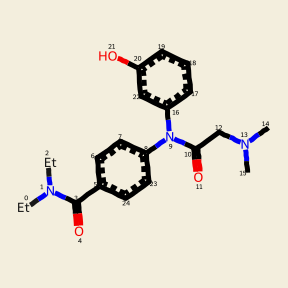 CCN(CC)C(=O)c1ccc(N(C(=O)CN(C)C)c2cccc(O)c2)cc1